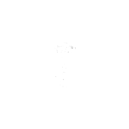 CC(C)COC1CCCN(S(=O)(=O)CN2CCC(c3ccnc4cnc5[nH]ccc5c34)CC2)C1